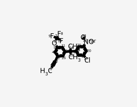 CC#Cc1cc(OC(F)(F)F)cc(C(C)(C)c2cc(Cl)cc([N+](=O)[O-])c2)c1